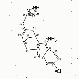 Nc1c2c(nc3cc(Cl)ccc13)CC1C=C(CC3n4[nH]n43)CC2C1